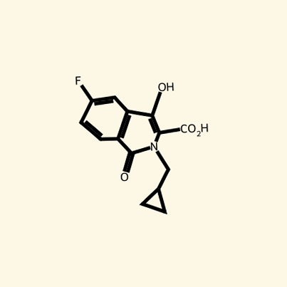 O=C(O)c1c(O)c2cc(F)ccc2c(=O)n1CC1CC1